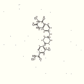 CCNC(=O)c1ccc(N2CCN(Cc3ccc4c(=O)n(CC)c(=O)[nH]c4c3)CC2)c(Cl)n1